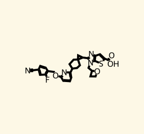 N#Cc1ccc(COc2cccc(C3CCC4(CC3)CC4c3nc4cc(C(=O)O)sc4n3CC3CCO3)n2)c(F)c1